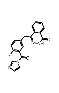 O=C(c1cc(Cc2n[nH]c(=O)c3ccccc23)ccc1F)n1ccnc1